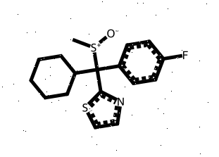 C[S+]([O-])C(c1ccc(F)cc1)(c1nccs1)C1CCCCC1